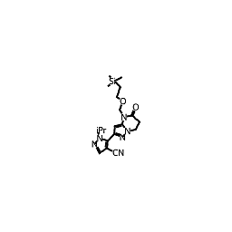 CC(C)n1ncc(C#N)c1-c1cc2n(n1)CCC(=O)N2COCC[Si](C)(C)C